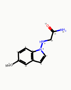 COc1ccc2c(ccn2NCC(N)=O)c1